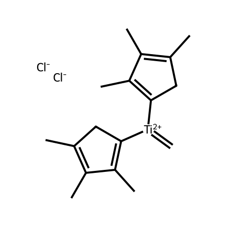 [CH2]=[Ti+2]([C]1=C(C)C(C)=C(C)C1)[C]1=C(C)C(C)=C(C)C1.[Cl-].[Cl-]